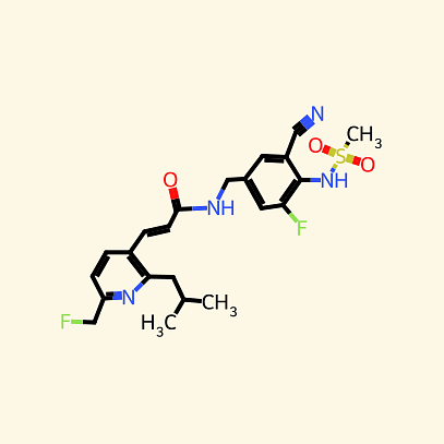 CC(C)Cc1nc(CF)ccc1/C=C/C(=O)NCc1cc(F)c(NS(C)(=O)=O)c(C#N)c1